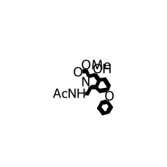 COC(=O)c1nc(CNC(C)=O)c2cc(Oc3ccccc3)ccc2c1O